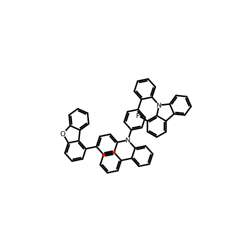 Fc1cccc2c3ccccc3n(-c3ccccc3-c3ccc(N(c4ccc(-c5cccc6oc7ccccc7c56)cc4)c4ccccc4-c4ccccc4)cc3)c12